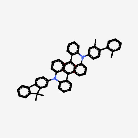 Cc1ccccc1-c1ccc(N(c2ccccc2)c2ccccc2-c2ccc(-c3ccccc3N(c3ccccc3)c3ccc4c(c3)C(C)(C)c3ccccc3-4)cc2)cc1C